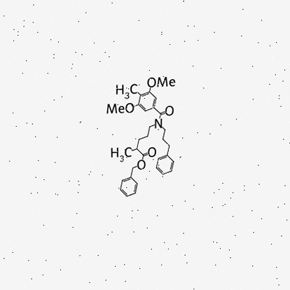 COc1cc(C(=O)N(CCCc2ccccc2)CCCC(C)C(=O)OCc2ccccc2)cc(OC)c1C